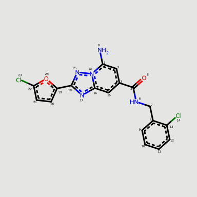 Nc1cc(C(=O)NCc2ccccc2Cl)cc2nc(-c3ccc(Cl)o3)nn12